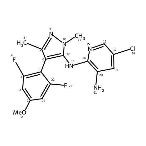 COc1cc(F)c(-c2c(C)nn(C)c2Nc2ncc(Cl)cc2N)c(F)c1